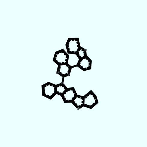 c1ccc2c(-c3cccc4oc5ccccc5c34)nc(-n3c4ccccc4c4cc5sc6ccccc6c5cc43)nc2c1